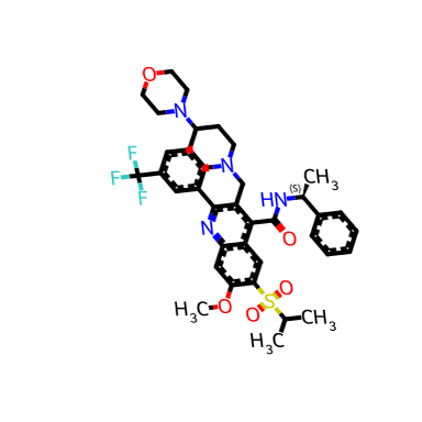 COc1cc2nc(-c3cccc(C(F)(F)F)c3)c(CN3CCC(N4CCOCC4)CC3)c(C(=O)N[C@@H](C)c3ccccc3)c2cc1S(=O)(=O)C(C)C